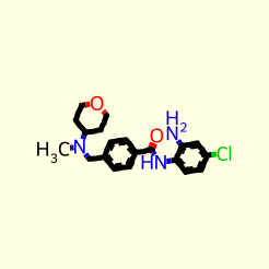 CN(Cc1ccc(C(=O)Nc2ccc(Cl)cc2N)cc1)C1CCOCC1